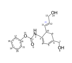 O=C(NC1=CC=C(CO)CC1/C=C/CO)Oc1ccccc1